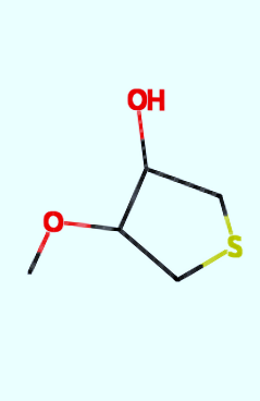 COC1CSCC1O